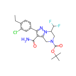 CCc1ccc(-c2nn3c(c2C(N)=O)CN(C(=O)OC(C)(C)C)CC3C(F)F)cc1Cl